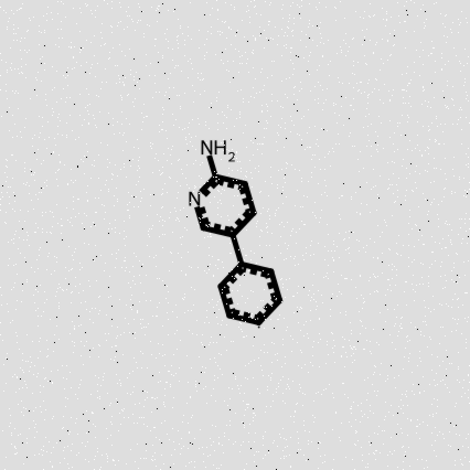 Nc1ccc(-c2cc[c]cc2)cn1